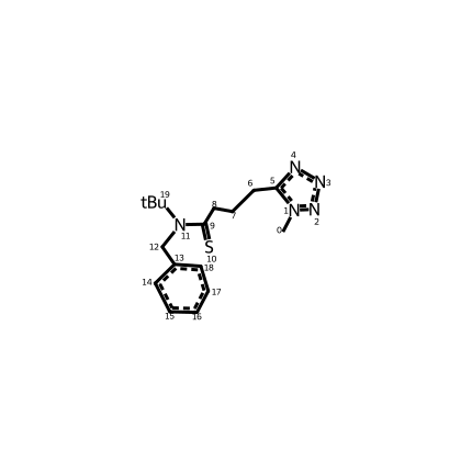 Cn1nnnc1CCCC(=S)N(Cc1ccccc1)C(C)(C)C